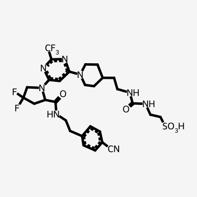 N#Cc1ccc(CCNC(=O)C2CC(F)(F)CN2c2cc(N3CCC(CCNC(=O)NCCS(=O)(=O)O)CC3)nc(C(F)(F)F)n2)cc1